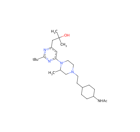 CC(=O)NC1CCC(CCN2CCN(c3cc(CC(C)(C)O)nc(C(C)(C)C)n3)C(C)C2)CC1